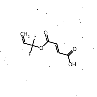 C=CC(F)(F)OC(=O)/C=C/C(=O)O